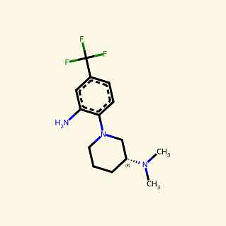 CN(C)[C@@H]1CCCN(c2ccc(C(F)(F)F)cc2N)C1